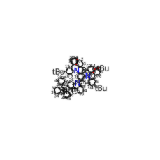 CC(C)c1ccc2c(c1)N(c1ccc(C(C)(C)C)cc1C1=CC=C=C=C1)c1cc(N3c4ccc([Si](c5ccccc5)(c5ccccc5)c5ccccc5)cc4C4(C)CCCCC34C)cc3c1B2c1ccc(C(C)(C)C)cc1N3c1ccc(C(C)(C)C)cc1-c1ccccc1